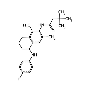 Cc1cc2c(c(C)c1NC(=O)CC(C)(C)C)CCCC2Nc1ccc(F)cc1